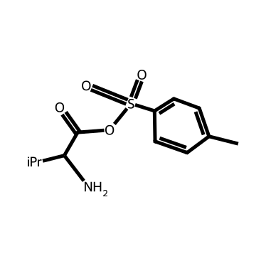 Cc1ccc(S(=O)(=O)OC(=O)C(N)C(C)C)cc1